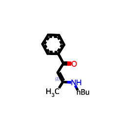 CCCCN/C(C)=C\C(=O)c1ccccc1